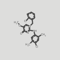 COc1cn(Cc2ccccc2Cl)c(Nc2cc(C)c(Cl)cc2C)nc1=O